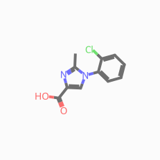 Cc1nc(C(=O)O)cn1-c1ccccc1Cl